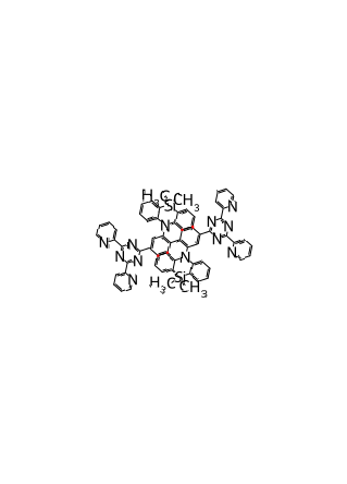 C[Si]1(C)c2ccccc2N(c2cc(-c3nc(-c4ccccn4)nc(-c4ccccn4)n3)ccc2-c2ccc(-c3nc(-c4ccccn4)nc(-c4ccccn4)n3)cc2N2c3ccccc3[Si](C)(C)c3ccccc32)c2ccccc21